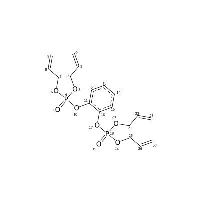 C=CCOP(=O)(OCC=C)Oc1ccccc1OP(=O)(OCC=C)OCC=C